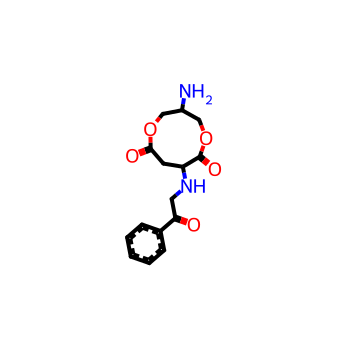 NC1COC(=O)CC(NCC(=O)c2ccccc2)C(=O)OC1